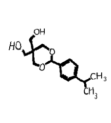 CC(C)c1ccc(C2OCC(CO)(CO)CO2)cc1